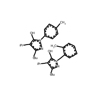 Cc1ccc(-n2nc(C(C)(C)C)c(C(C)C)c2O)cc1.Cc1ccccc1-n1nc(C(C)(C)C)c(C(C)C)c1O